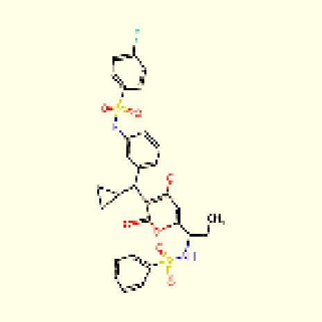 CCC(NS(=O)(=O)c1ccccc1)c1cc(O)c(C(c2cccc(NS(=O)(=O)c3ccc(F)cc3)c2)C2CC2)c(=O)o1